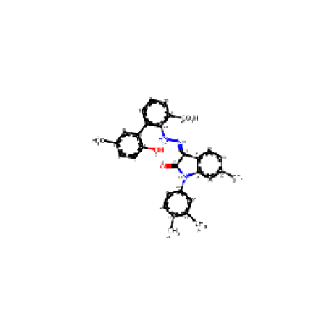 Cc1ccc(O)c(-c2cccc(C(=O)O)c2NN=C2C(=O)N(c3ccc(C)c(C)c3)c3cc(C(F)(F)F)ccc32)c1